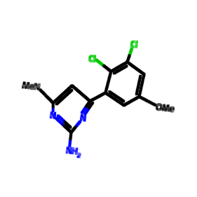 CNc1cc(-c2cc(OC)cc(Cl)c2Cl)nc(N)n1